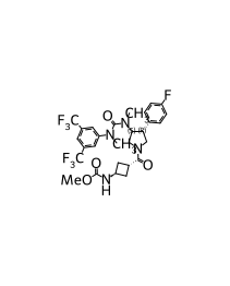 COC(=O)N[C@H]1C[C@H](C(=O)N2C[C@@H](N(C)C(=O)N(C)c3cc(C(F)(F)F)cc(C(F)(F)F)c3)[C@H](c3ccc(F)cc3)C2)C1